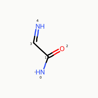 [NH]C(=O)C=N